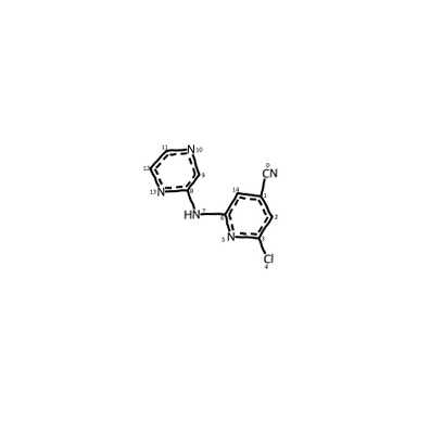 N#Cc1cc(Cl)nc(Nc2cnccn2)c1